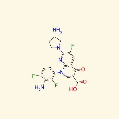 Nc1c(F)ccc(-n2cc(C(=O)O)c(=O)c3cc(F)c(N4CC[C@H](N)C4)nc32)c1F